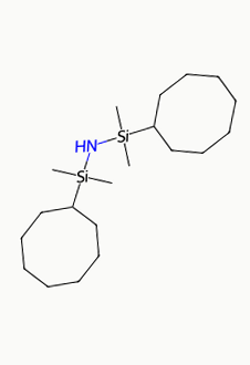 C[Si](C)(N[Si](C)(C)C1CCCCCCC1)C1CCCCCCC1